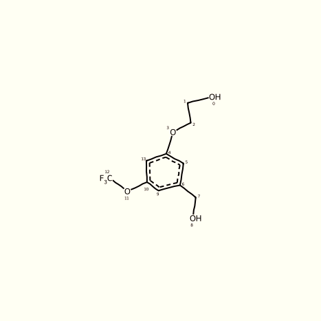 OCCOc1cc(CO)cc(OC(F)(F)F)c1